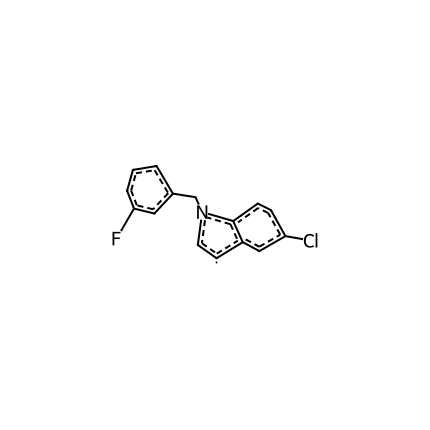 Fc1cccc(Cn2c[c]c3cc(Cl)ccc32)c1